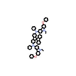 CCn1c2ccc(Oc3ccccc3)cc2c2cc(N(C3=CC=CCC3)c3ccc4c(c3)C3(c5ccccc5-c5ccccc53)c3cc(N(C5=CC=CCC5)c5ccc6c(c5)c5cc(Oc7ccccc7)ccc5n6CC)ccc3-4)ccc21